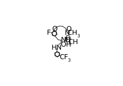 C#CCC1C(=O)NC(C(O)CNCc2cccc(C(F)(F)F)c2)Cc2ccc(c(F)c2)OCCCCC(=O)N1C